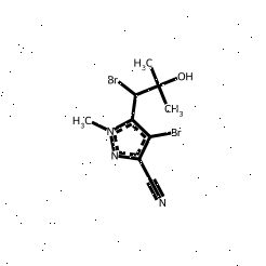 Cn1nc(C#N)c(Br)c1C(Br)C(C)(C)O